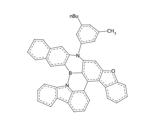 CCCCc1cc(C)cc(N2c3cc4ccccc4cc3B3c4c2cc2oc5ccccc5c2c4-c2cccc4c5ccccc5n3c24)c1